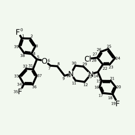 Fc1ccc(C(OCCCN2CCN(C(c3ccc(F)cc3)c3ccccc3Cl)CC2)c2ccc(F)cc2)cc1